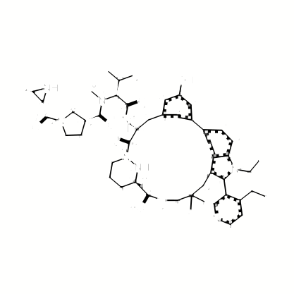 CCc1ccncc1-c1c2c3cc(ccc3n1CC)-c1cc(O)cc(c1)C[C@H](NC(=O)[C@H](C(C)C)N(C)C(=O)[C@H]1CCN(C(=O)[C@@H]3CN3)C1)C(=O)N1CCC[C@H](N1)C(=O)OCC(C)(C)C2